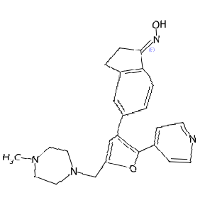 CN1CCN(Cc2cc(-c3ccc4c(c3)CC/C4=N\O)c(-c3ccncc3)o2)CC1